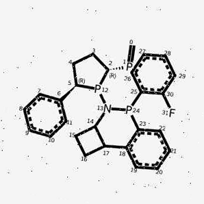 C=P[C@H]1CC[C@H](c2ccccc2)P1N1C2CCC2c2ccccc2P1c1ccccc1F